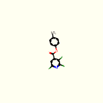 O=C(Oc1ccc([N+](=O)[O-])cc1)c1cc(F)nc(F)c1F